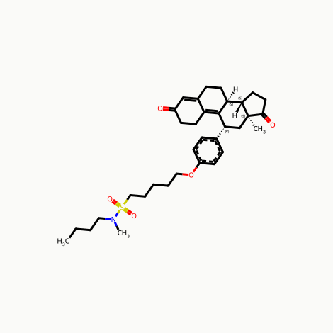 CCCCN(C)S(=O)(=O)CCCCCOc1ccc([C@H]2C[C@]3(C)C(=O)CC[C@H]3[C@@H]3CCC4=CC(=O)CCC4=C32)cc1